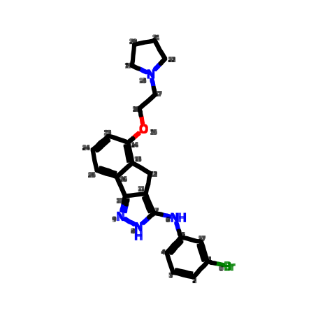 Brc1cccc(Nc2[nH]nc3c2Cc2c(OCCN4CCCC4)cccc2-3)c1